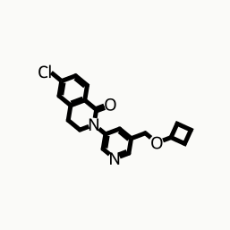 O=C1c2ccc(Cl)cc2CCN1c1cncc(COC2CCC2)c1